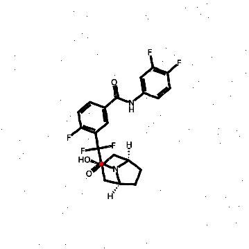 O=C(Nc1ccc(F)c(F)c1)c1ccc(F)c(C(F)(F)C(=O)N2[C@@H]3CC[C@H]2C[C@@H](O)C3)c1